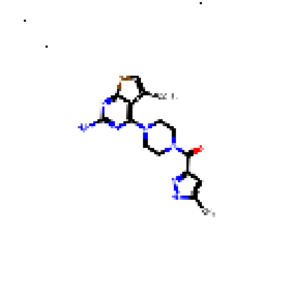 CCOC(=O)c1csc2nc(N)nc(N3CCN(C(=O)c4cc(C)[nH]n4)CC3)c12